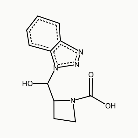 O=C(O)N1CCC1C(O)n1nnc2ccccc21